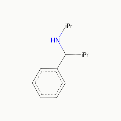 CC(C)NC(c1ccccc1)C(C)C